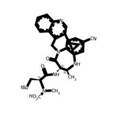 C[C@@H]1Nc2cc(C#N)ccc2N(Cc2c(C3CC3)cnc3ccccc23)C(=O)[C@H]1NC(=O)[C@H](CC(C)(C)C)N(C)C(=O)O